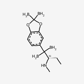 BC1(B)Oc2ccc(C(B)(B)[C@H](CC)NC)cc2O1